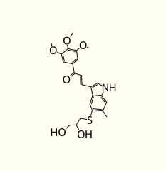 COc1cc(C(=O)/C=C/c2c[nH]c3cc(C)c(SCC(O)CO)cc23)cc(OC)c1OC